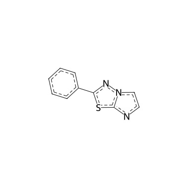 c1ccc(-c2nn3ccnc3s2)cc1